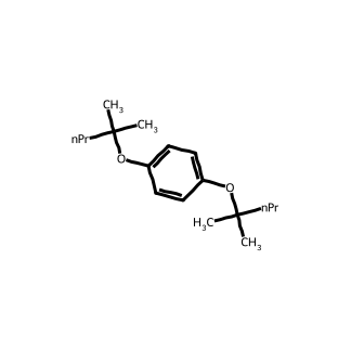 CCCC(C)(C)Oc1ccc(OC(C)(C)CCC)cc1